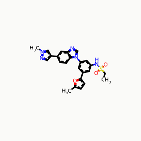 CCS(=O)(=O)Nc1cc(-c2ccc(C)o2)cc(-n2cnc3cc(-c4cnn(C)c4)ccc32)c1